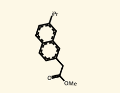 COC(=O)Cc1ccc2ccc(C(C)C)cc2c1